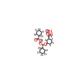 CC(C)c1ccccc1.O=C(OOC(=O)c1ccccc1)c1ccccc1.OO